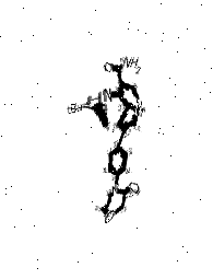 C[C@@H](Nc1c(C(N)=O)cnn2cc(-c3ccc(N4CCOCC4=O)cc3)cc12)C(C)(C)C